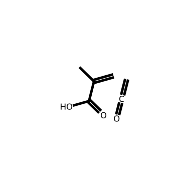 C=C(C)C(=O)O.C=C=O